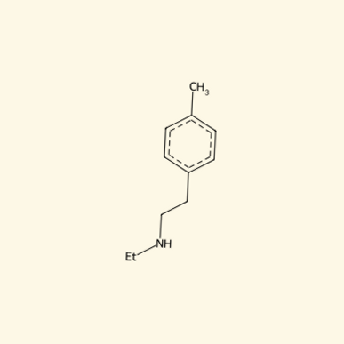 [CH2]CNCCc1ccc(C)cc1